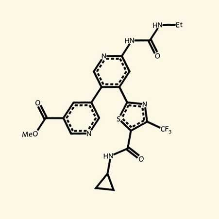 CCNC(=O)Nc1cc(-c2nc(C(F)(F)F)c(C(=O)NC3CC3)s2)c(-c2cncc(C(=O)OC)c2)cn1